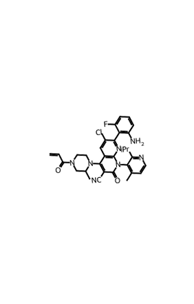 C=CC(=O)N1CCN(c2c(C#N)c(=O)n(-c3c(C)ccnc3C(C)C)c3nc(-c4c(N)cccc4F)c(Cl)cc23)C(C)C1